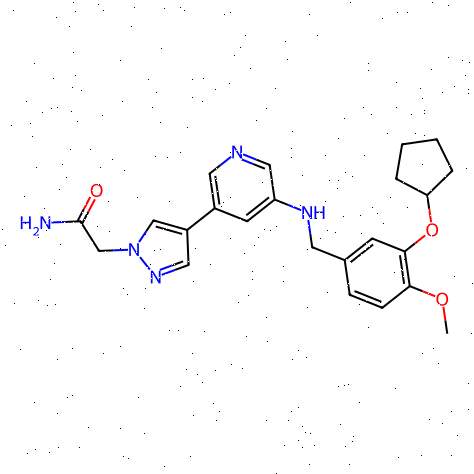 COc1ccc(CNc2cncc(-c3cnn(CC(N)=O)c3)c2)cc1OC1CCCC1